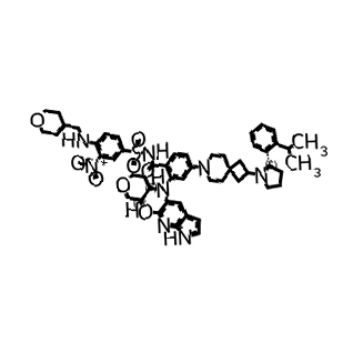 CC(C)c1ccccc1[C@@H]1CCCN1C1CC2(CCN(c3ccc(C(=O)NS(=O)(=O)c4ccc(NCC5CCOCC5)c([N+](=O)[O-])c4)c(N4c5cc6cc[nH]c6nc5O[C@H]5COCC[C@@H]54)c3)CC2)C1